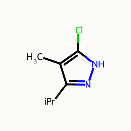 Cc1c(C(C)C)n[nH]c1Cl